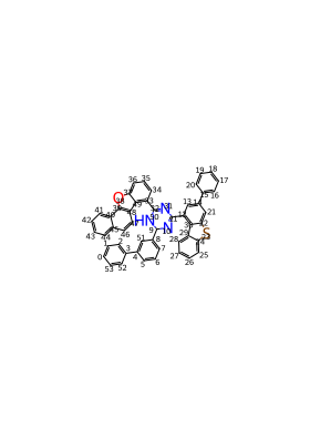 c1ccc(-c2cccc(C3N=C(c4cc(-c5ccccc5)cc5sc6ccccc6c45)N=C(c4cccc5oc6c7ccccc7ccc6c45)N3)c2)cc1